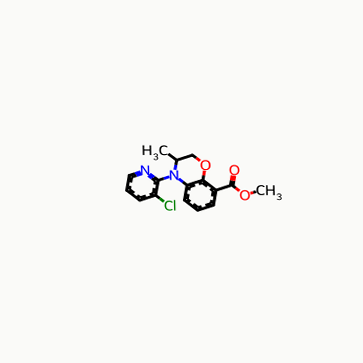 COC(=O)c1cccc2c1OCC(C)N2c1ncccc1Cl